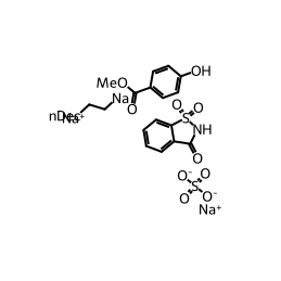 CCCCCCCCCCC[CH2][Na].COC(=O)c1ccc(O)cc1.O=C1NS(=O)(=O)c2ccccc21.O=S(=O)([O-])[O-].[Na+].[Na+]